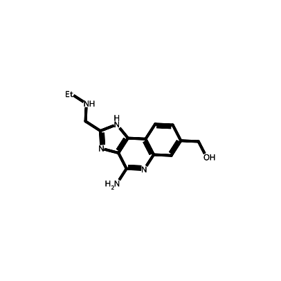 CCNCc1nc2c(N)nc3cc(CO)ccc3c2[nH]1